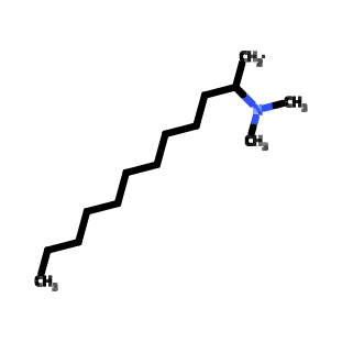 [CH2]C(CCCCCCCCCC)N(C)C